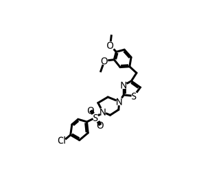 COc1ccc(Cc2csc(N3CCN(S(=O)(=O)c4ccc(Cl)cc4)CC3)n2)cc1OC